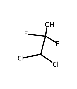 OC(F)(F)C(Cl)Cl